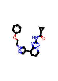 O=C(Nc1nc2c(-c3cnn(CCOc4ccccc4)c3)cccn2n1)C1CC1